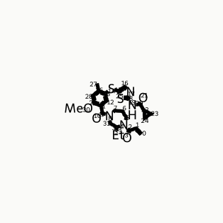 C=CC(=O)N1CCCN(C(=O)c2cc(Sc3cnc(NC(=O)C4CC4)s3)c(C)cc2OC)CC1CC